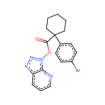 O=C(On1nnc2cccnc21)C1(c2ccc(Br)cc2)CCCCC1